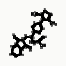 Cc1noc(C)c1-c1ccc([C@H](CN2C(=O)c3ccccc3C2=O)NC(=O)O)cc1